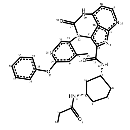 CCC(=O)N[C@H]1CCC[C@@H](NC(=O)c2sc3nccc4c3c2N(c2cnc(Oc3ccccc3)cc2C)C(=O)N4)C1